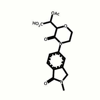 CC(=O)OC(C(=O)O)C1OCCN(c2ccc3c(c2)CN(C)C3=O)C1=O